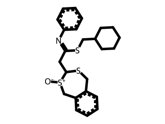 [O-][S+]1Cc2ccccc2CSC1CC(=Nc1ccccc1)SCC1CCCCC1